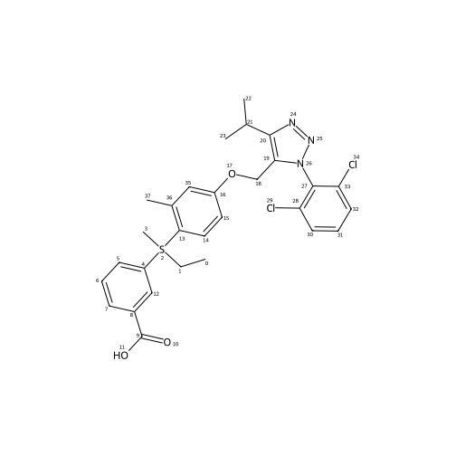 CCS(C)(c1cccc(C(=O)O)c1)c1ccc(OCc2c(C(C)C)nnn2-c2c(Cl)cccc2Cl)cc1C